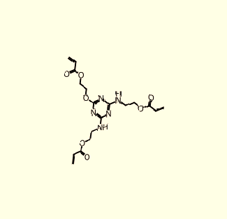 C=CC(=O)OCCNc1nc(NCCOC(=O)C=C)nc(OCCOC(=O)C=C)n1